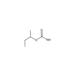 CCC(C)OC([NH])=O